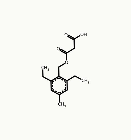 CCc1cc(C)cc(CC)c1COC(=O)CC(=O)O